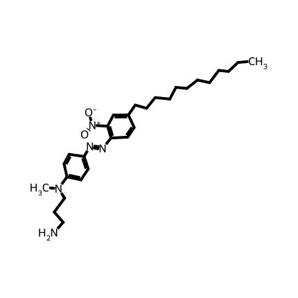 CCCCCCCCCCCCc1ccc(N=Nc2ccc(N(C)CCCN)cc2)c([N+](=O)[O-])c1